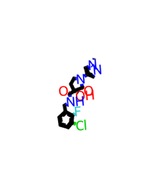 Cn1cc(N2CC[C@](O)(C(=O)NCc3cccc(Cl)c3F)C2=O)cn1